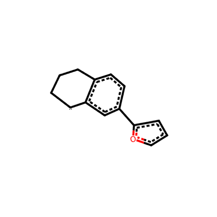 [C]1CCCc2ccc(-c3ccco3)cc21